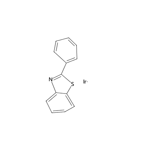 [Ir].c1ccc(-c2nc3ccccc3s2)cc1